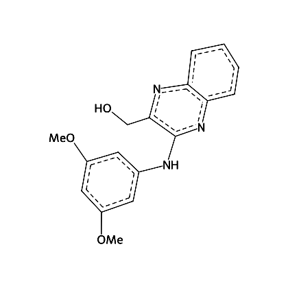 COc1cc(Nc2nc3ccccc3nc2CO)cc(OC)c1